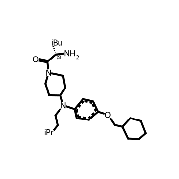 CCC(C)[C@H](N)C(=O)N1CCC(N(CCC(C)C)c2ccc(OCC3CCCCC3)cc2)CC1